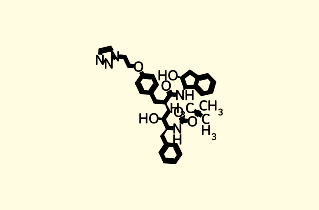 CC(C)(C)OC(=O)N[C@@H](Cc1ccccc1)[C@@H](O)C[C@@H](Cc1ccc(OCCn2ccnn2)cc1)C(=O)N[C@H]1c2ccccc2C[C@H]1O